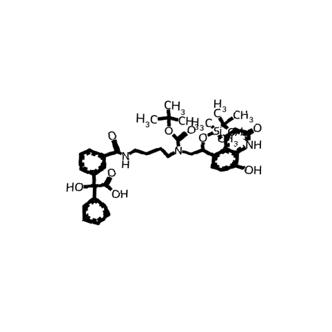 CC(C)(C)OC(=O)N(CCCCNC(=O)c1cccc(C(O)(C(=O)O)c2ccccc2)c1)CC(O[Si](C)(C)C(C)(C)C)c1ccc(O)c2[nH]c(=O)ccc12